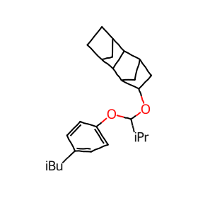 CCC(C)c1ccc(OC(OC2CC3CC2C2C4CCC(C4)C32)C(C)C)cc1